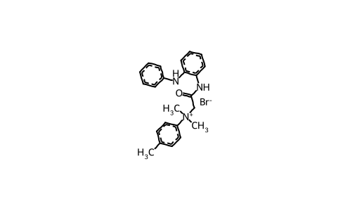 Cc1ccc([N+](C)(C)CC(=O)Nc2ccccc2Nc2ccccc2)cc1.[Br-]